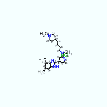 Cc1cc(C)c2nc(-c3ccnc(N(C)CCCCC4CCN(C)CC4)c3)[nH]c2c1.Cl